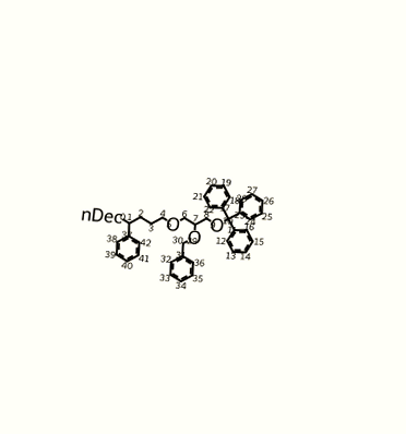 CCCCCCCCCCC(CCCOCC(COC(c1ccccc1)(c1ccccc1)c1ccccc1)OCc1ccccc1)c1ccccc1